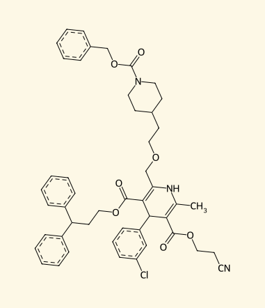 CC1=C(C(=O)OCCC#N)C(c2cccc(Cl)c2)C(C(=O)OCCC(c2ccccc2)c2ccccc2)=C(COCCC2CCN(C(=O)OCc3ccccc3)CC2)N1